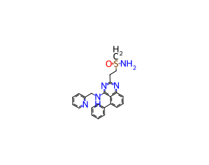 C=S(N)(=O)CCc1nc(NCc2ccccn2)c2c(-c3ccccc3)cccc2n1